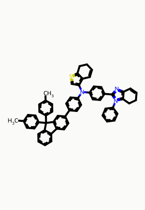 Cc1ccc(C2(c3ccc(C)cc3)c3ccccc3-c3ccc(-c4ccc(N(c5ccc(-c6nc7c(n6-c6ccccc6)CCC=C7)cc5)c5csc6c5C=CCC6)cc4)cc32)cc1